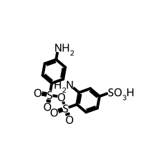 Nc1ccc(S(=O)(=O)OS(=O)(=O)c2ccc(S(=O)(=O)O)cc2N)cc1